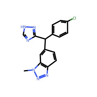 Cn1nnc2ccc(C(c3ccc(Cl)cc3)c3nc[nH]n3)cc21